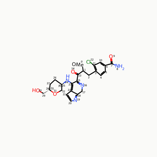 COC(Cc1ccc(C(N)=O)cc1Cl)C(=O)C1=NCC2=NC=CC2=C1N[C@@H]1CC[C@@H](CO)OC1